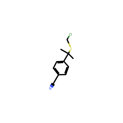 CC(C)(SCCl)c1ccc(C#N)cc1